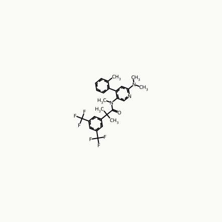 Cc1ccccc1-c1cc(N(C)C)ncc1N(C)C(=O)C(C)(C)c1cc(C(F)(F)F)cc(C(F)(F)F)c1